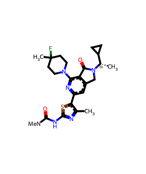 CNC(=O)Nc1nc(C)c(-c2cc3c(c(N4CCC(C)(F)CC4)n2)C(=O)N([C@@H](C)C2CC2)C3)s1